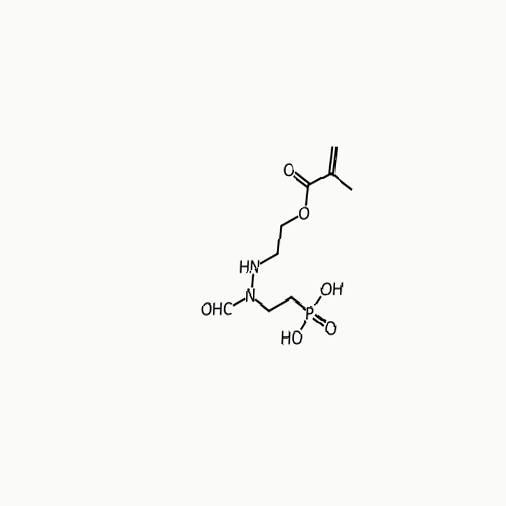 C=C(C)C(=O)OCCNN(C=O)CCP(=O)(O)O